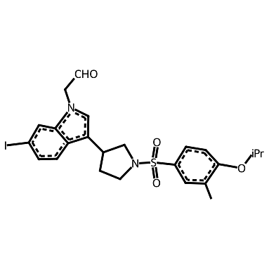 Cc1cc(S(=O)(=O)N2CCC(c3cn(CC=O)c4cc(I)ccc34)C2)ccc1OC(C)C